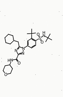 CC(C)(C)NS(=O)(=O)c1ccc(-n2nc(C(=O)NC3CCOCC3)nc2CC2CCCCC2)cc1C(C)(C)C